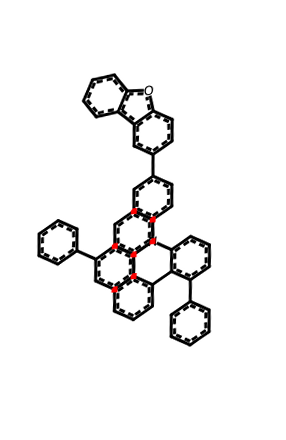 c1ccc(-c2cccc(N(c3ccc(-c4ccc5oc6ccccc6c5c4)cc3)c3cccc(-c4ccccc4)c3-c3ccccc3-c3ccccc3)c2)cc1